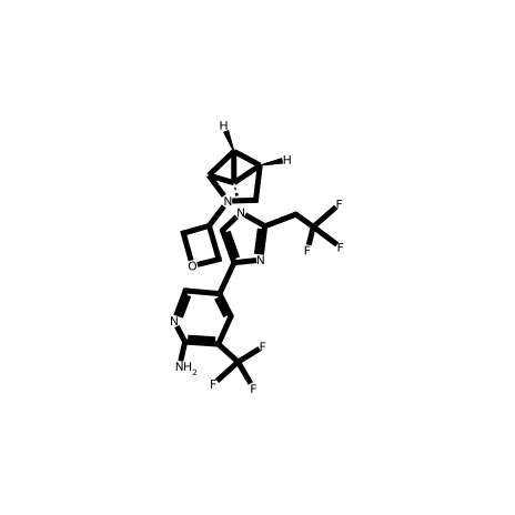 Nc1ncc(-c2cn([C@]34C5[C@@H]3[C@@H]4CN5C3COC3)c(CC(F)(F)F)n2)cc1C(F)(F)F